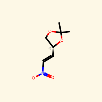 CC1(C)OC[C@H](C=C[N+](=O)[O-])O1